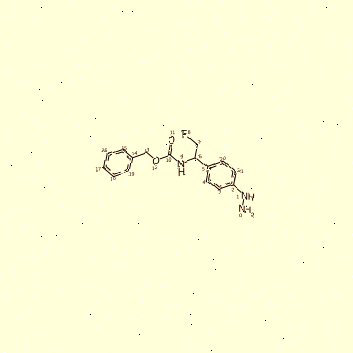 NNc1ccc(C(CF)NC(=O)OCc2ccccc2)cc1